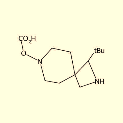 CC(C)(C)C1NCC12CCN(OC(=O)O)CC2